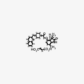 Cc1ccc(OCC(=O)N2CCN(Cc3ccc4ccccc4n3)CC2)c2c1NC(=O)C2(C)C.O=C(O)C=CC(=O)O